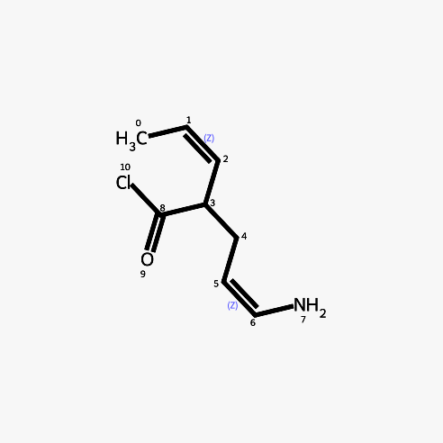 C/C=C\C(C/C=C\N)C(=O)Cl